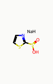 O=S(O)c1nccs1.[NaH]